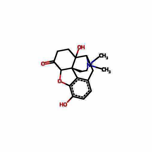 C[N+]1(C)CC[C@@]23c4c5ccc(O)c4OC2C(=O)CCC3(O)C1C5